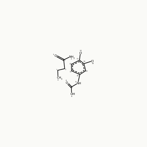 CCCC(N)=O.O=C(O)Nc1ccc(Cl)c(Cl)c1